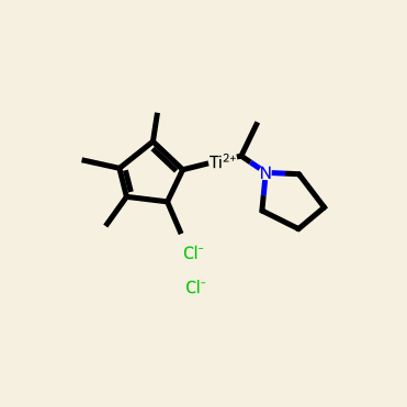 CC1=C(C)C(C)[C]([Ti+2][CH](C)N2CCCC2)=C1C.[Cl-].[Cl-]